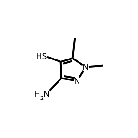 Cc1c(S)c(N)nn1C